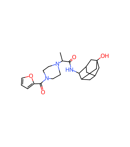 CC(C(=O)NC1C2CC3CC1CC(O)(C3)C2)N1CCN(C(=O)c2ccco2)CC1